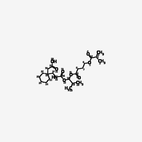 CC(C)C(=O)OCCCC(=O)OC(OC(=O)NCC1(CC(=O)O)CCCCC1)C(C)C